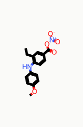 CCc1cc(C(=O)O[N+](=O)[O-])ccc1Nc1ccc(OC)cc1